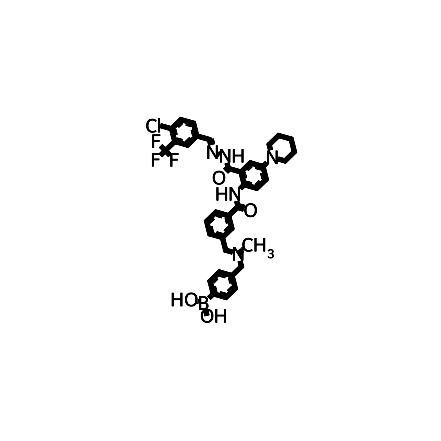 CN(Cc1ccc(B(O)O)cc1)Cc1cccc(C(=O)Nc2ccc(N3CCCCC3)cc2C(=O)NN=Cc2ccc(Cl)c(C(F)(F)F)c2)c1